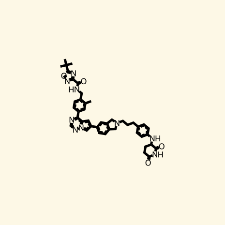 Cc1cc(-c2ncnn3cc(-c4ccc5c(c4)CN(CCCc4ccc(NC6CCC(=O)NC6=O)cc4)C5)cc23)ccc1CNC(=O)c1noc(C(C)(C)C)n1